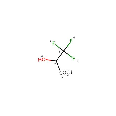 O=C(O)[C](O)C(F)(F)F